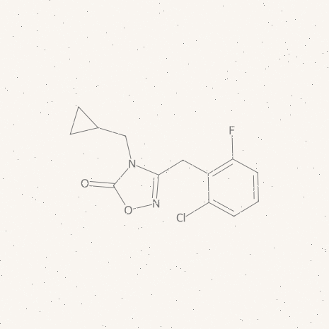 O=c1onc(Cc2c(F)cccc2Cl)n1CC1CC1